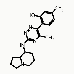 Cc1nc(NC2CCCN3CCCC23)nnc1-c1ccc(C(F)(F)F)cc1O